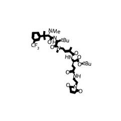 CN[C@H](C(=O)NC(C(=O)N(C)C/C=C(\C)C(=O)N[C@H](CCC(=O)NCCN1C(=O)C=CC1=O)C(=O)OC(C)(C)C)C(C)(C)C)C(C)(C)c1cccc(C(F)(F)F)c1